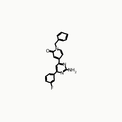 Nc1nc(-c2cccc(F)c2)cc(-c2ccn(Cc3ccccc3)c(=O)c2)n1